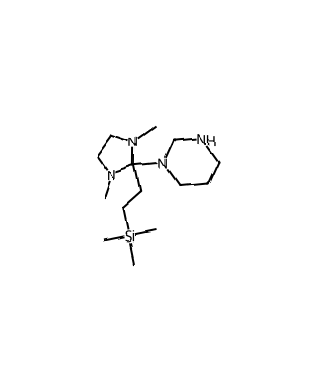 CN1CCN(C)C1(CC[Si](C)(C)C)N1CCCNC1